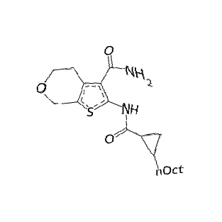 CCCCCCCCC1CC1C(=O)Nc1sc2c(c1C(N)=O)CCOC2